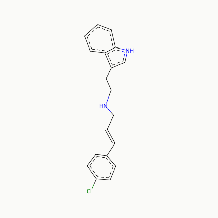 Clc1ccc(C=CCNCCc2c[nH]c3ccccc23)cc1